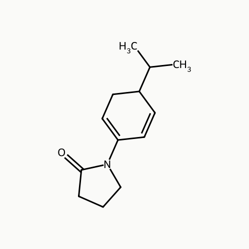 CC(C)C1C=CC(N2CCCC2=O)=CC1